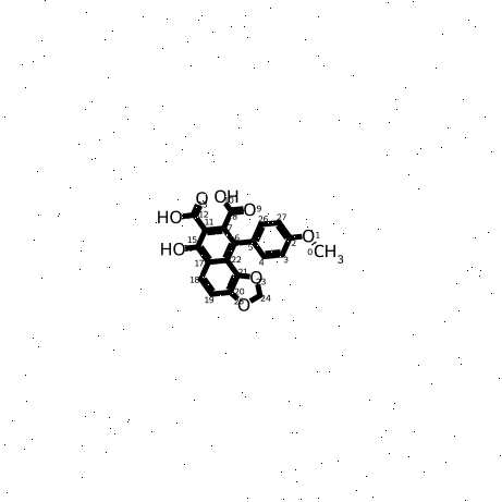 COc1ccc(-c2c(C(=O)O)c(C(=O)O)c(O)c3ccc4c(c23)OCO4)cc1